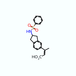 C/C(=C/C(=O)O)c1ccc2c(c1)CC(NS(=O)(=O)c1ccccc1)C2